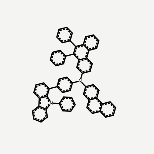 c1ccc(-c2c(-c3ccccc3)c3cc(N(c4ccc(-c5cccc6c7ccccc7n(-c7ccccc7)c56)cc4)c4ccc5c(ccc6ccccc65)c4)ccc3c3ccccc23)cc1